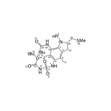 CCCN1c2c(c(C)c(NS(=O)(=O)NC(=O)OC(C)(C)C)c(C)c2NC(=O)C(C)(C)C)CC1CSC